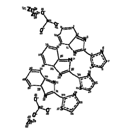 C1=CC2=NC(c3nccs3)=NC2C=C1.C1=CC2=NC(c3nccs3)=NC2C=C1.C1=CC2=NC(c3nccs3)=NC2C=C1.[O-]P([O-])[O-].[O-]P([O-])[O-].[Zn+2].[Zn+2].[Zn+2]